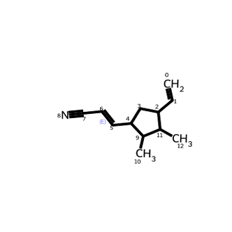 C=CC1CC(/C=C/C#N)C(C)C1C